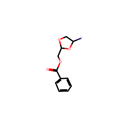 O=C(OCC1OCC(I)O1)c1ccccc1